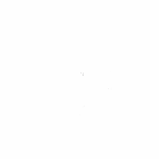 c1ccc(-c2cccc(N(c3cc4ccc5ccccc5c4c4ccccc34)c3cccc4oc5cc6ccccc6cc5c34)c2)cc1